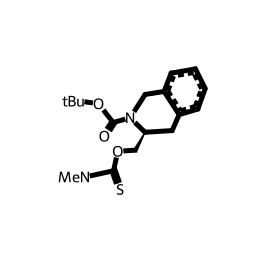 CNC(=S)OC[C@@H]1Cc2ccccc2CN1C(=O)OC(C)(C)C